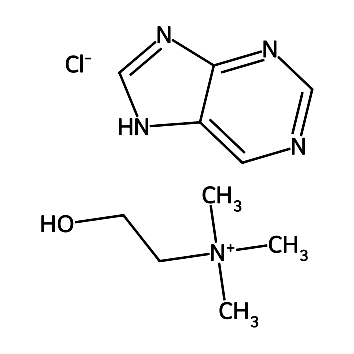 C[N+](C)(C)CCO.[Cl-].c1ncc2[nH]cnc2n1